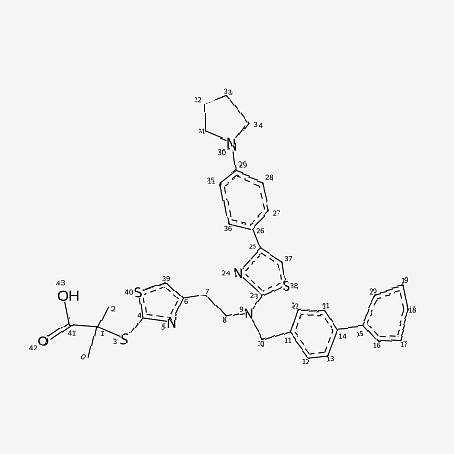 CC(C)(Sc1nc(CCN(Cc2ccc(-c3ccccc3)cc2)c2nc(-c3ccc(N4CCCC4)cc3)cs2)cs1)C(=O)O